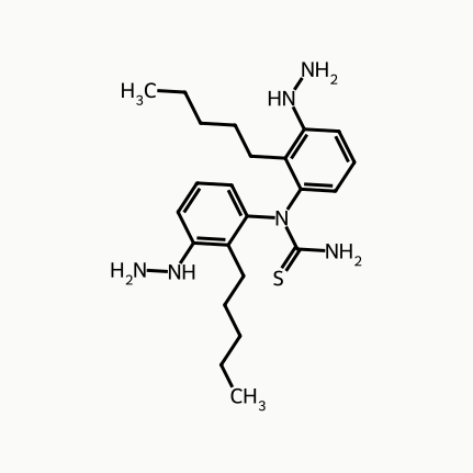 CCCCCc1c(NN)cccc1N(C(N)=S)c1cccc(NN)c1CCCCC